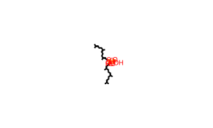 CC(C)=CCCC(C)=CCCC(C)=CCOP(=O)(OCC=C(C)CCC=C(C)CCC=C(C)C)OP(=O)(O)O